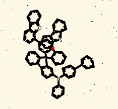 c1ccc(-c2ccc(N(c3ccccc3)c3ccc4c(c3)C(c3cccc(-c5cccc6c5oc5ccccc56)c3)(c3ccccc3-c3cccc5c3sc3ccccc35)c3ccccc3-4)cc2)cc1